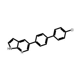 Clc1ccc(-c2ccc(-c3cnc4[nH]ccc4c3)cc2)cc1